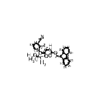 CC(C)(C)OC(=O)[C@H](Cc1ncccc1C#N)NC(=O)OCC1c2ccccc2-c2ccccc21